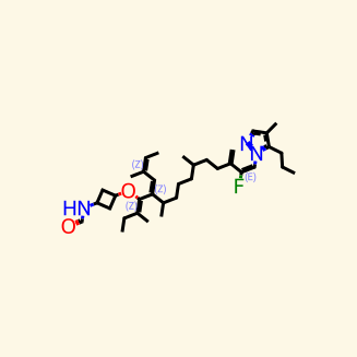 C=C(CCC(C)CCCC(C)C(=C/C(C)=C\C)/C(OC1CC(NC=O)C1)=C(\C)CC)/C(F)=C\n1ncc(C)c1CCC